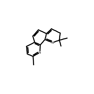 Cc1ccc2ccc3c(c2n1)=NC(C)(C)CC=3